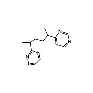 CC(CCC(C)c1ncncn1)c1ncccn1